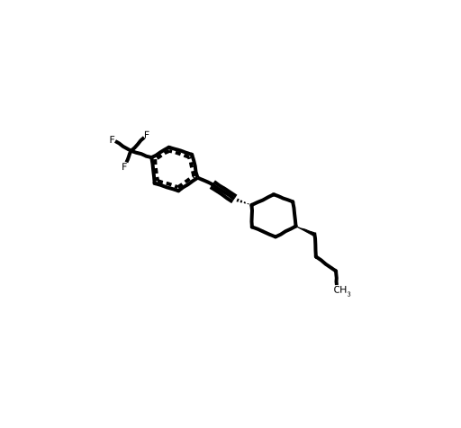 CCCC[C@H]1CC[C@H](C#Cc2ccc(C(F)(F)F)cc2)CC1